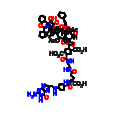 CC(=O)O[C@H]1C(=O)[C@]2(C)[C@@H](OC(=O)c3cc(C(=O)O)c(C(=O)NCCNC(=O)CC[C@H](NC(=O)c4ccc(NCc5cnc6nc(N)[nH]c(=O)c6n5)cc4)C(=O)O)cc3C(=O)O)C[C@H]3OC[C@@]3(OC(C)=O)[C@H]2[C@H](OC#Cc2ccccc2)[C@]2(O)C[C@H](OC(=O)[C@H](O)[C@@H](NC(=O)c3ccccc3)c3ccccc3)C(C)=C1C2(C)C